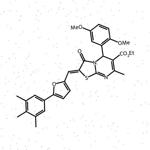 CCOC(=O)C1=C(C)N=c2s/c(=C\c3ccc(-c4cc(C)c(C)c(C)c4)o3)c(=O)n2C1c1cc(OC)ccc1OC